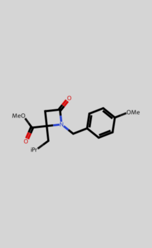 COC(=O)C1(CC(C)C)CC(=O)N1Cc1ccc(OC)cc1